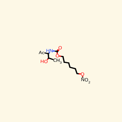 CC(=O)C(NC(=O)OCCCCCCO[N+](=O)[O-])C(C)O